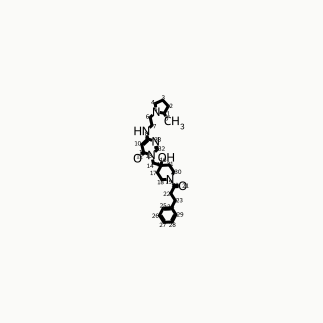 CC1CCCN1CCNc1cc(=O)n(CC2(O)CCN(C(=O)CCc3ccccc3)CC2)cn1